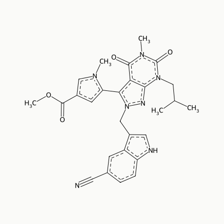 COC(=O)c1cc(-c2c3c(=O)n(C)c(=O)n(CC(C)C)c3nn2Cc2c[nH]c3ccc(C#N)cc23)n(C)c1